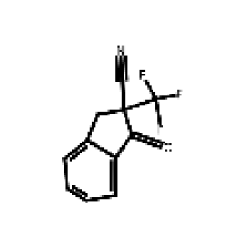 N#CC1(C(F)(F)F)Cc2ccccc2C1=O